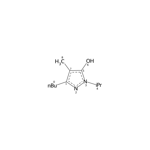 CCCCc1nn(C(C)C)c(O)c1C